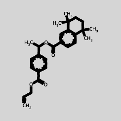 C=CCOC(=O)c1ccc(C(C)OC(=O)c2ccc3c(c2)C(C)(C)CCC3(C)C)cc1